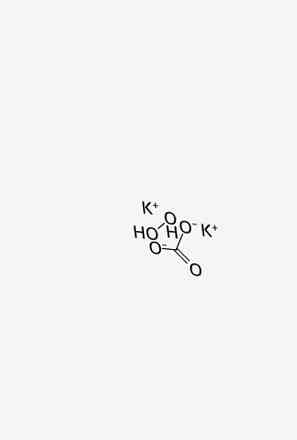 O=C([O-])[O-].OO.[K+].[K+]